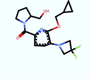 O=C(c1ccc(N2CC(F)(F)C2)c(OCC2CC2)n1)N1CCCC1CO